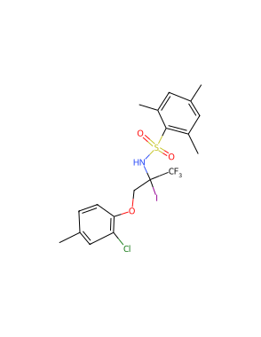 Cc1cc(C)c(S(=O)(=O)NC(I)(COc2ccc(C)cc2Cl)C(F)(F)F)c(C)c1